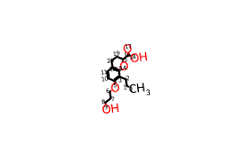 CCCc1c(OCCCO)ccc2c1OC(C(=O)O)CC2